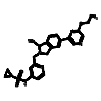 CCOc1cncc(-c2ccc3c(c2)CN(Cc2cc(NS(=O)(=O)C4CC4)ccn2)C3O)n1